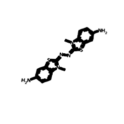 Cn1c(=NN=c2sc3cc(N)ccc3n2C)sc2cc(N)ccc21